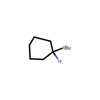 CC(C)(C)C1([N])CCCCC1